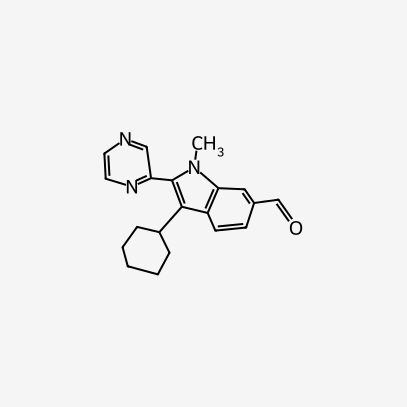 Cn1c(-c2cnccn2)c(C2CCCCC2)c2ccc(C=O)cc21